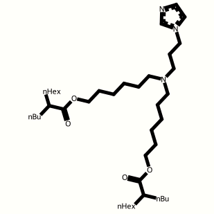 CCCCCCC(CCCC)C(=O)OCCCCCCN(CCCCCCOC(=O)C(CCCC)CCCCCC)CCCn1ccnc1